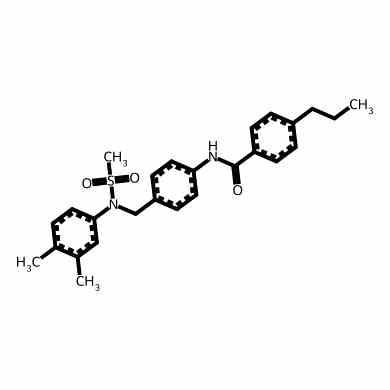 CCCc1ccc(C(=O)Nc2ccc(CN(c3ccc(C)c(C)c3)S(C)(=O)=O)cc2)cc1